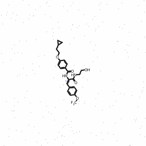 O=C(NCCO)/C(=C\c1ccc(OC(F)(F)F)cc1)NC(=O)c1ccc(OCCC2CC2)cc1